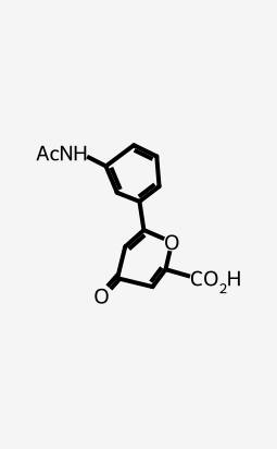 CC(=O)Nc1cccc(-c2cc(=O)cc(C(=O)O)o2)c1